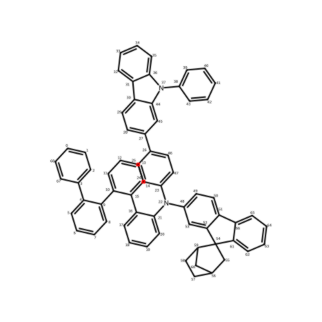 c1ccc(-c2ccccc2-c2ccccc2-c2ccccc2N(c2ccc(-c3ccc4c5ccccc5n(-c5ccccc5)c4c3)cc2)c2ccc3c(c2)C2(CC4CCC2C4)c2ccccc2-3)cc1